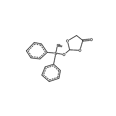 CC(C)(C)[Si](OC1OCC(=O)O1)(c1ccccc1)c1ccccc1